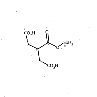 O=C(O)CC(CC(=O)O)C(=O)[O][SbH2]